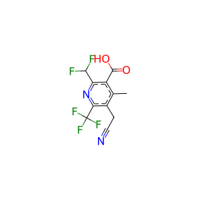 Cc1c(CC#N)c(C(F)(F)F)nc(C(F)F)c1C(=O)O